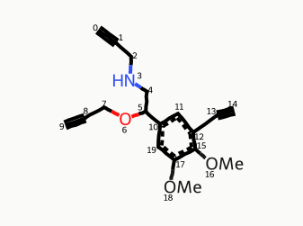 C#CCNCC(OCC#C)c1cc(C#C)c(OC)c(OC)c1